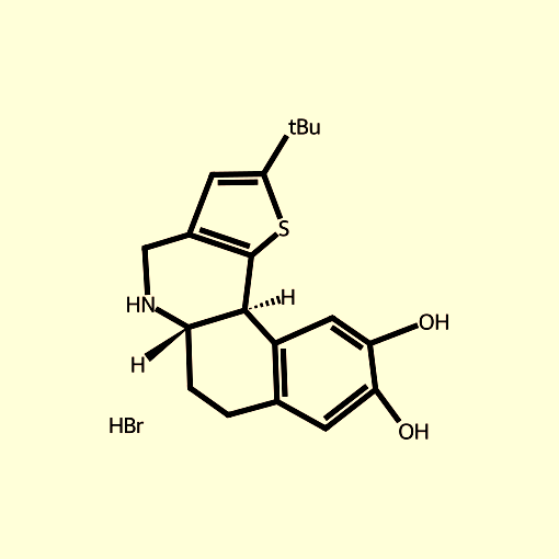 Br.CC(C)(C)c1cc2c(s1)[C@H]1c3cc(O)c(O)cc3CC[C@@H]1NC2